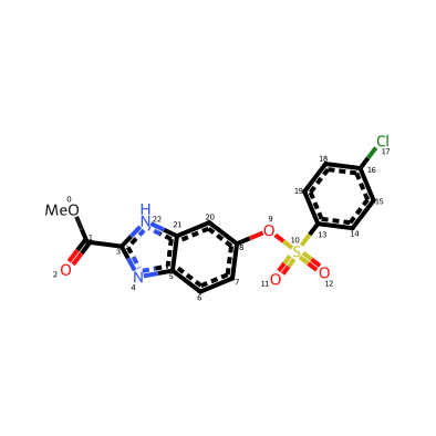 COC(=O)c1nc2ccc(OS(=O)(=O)c3ccc(Cl)cc3)cc2[nH]1